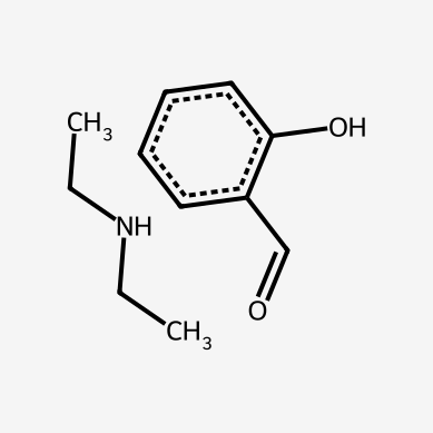 CCNCC.O=Cc1ccccc1O